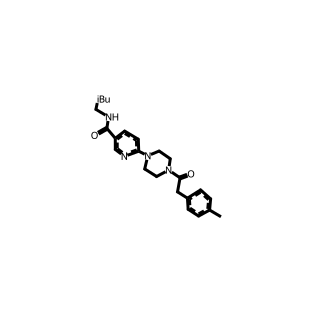 CCC(C)CNC(=O)c1ccc(N2CCN(C(=O)Cc3ccc(C)cc3)CC2)nc1